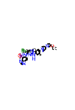 CCO[C@@H]1CCN(C2CCN(c3cc(OC)c(Nc4ncc(Br)c(Nc5ccc6nccnc6c5P(C)(C)=O)n4)cc3C)CC2)C1